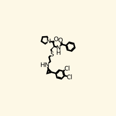 O=C(N[C@@H](CSCCNC1=C(c2ccc(Cl)c(Cl)c2)C1)C(=O)N1CCCC1)c1ccccc1